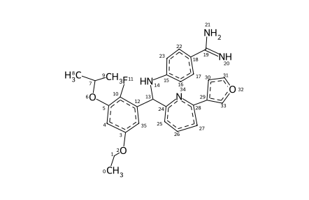 CCOc1cc(OC(C)C)c(F)c(C(Nc2ccc(C(=N)N)cc2)c2cccc(-c3ccoc3)n2)c1